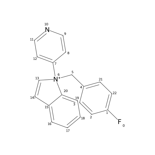 Fc1ccc(C[N+]2(c3ccncc3)C=[C]c3ccccc32)cc1